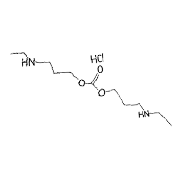 CCNCCCOC(=O)OCCCNCC.Cl